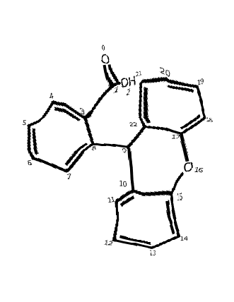 O=C(O)c1ccccc1C1c2ccccc2Oc2ccccc21